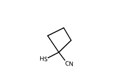 N#CC1(S)CCC1